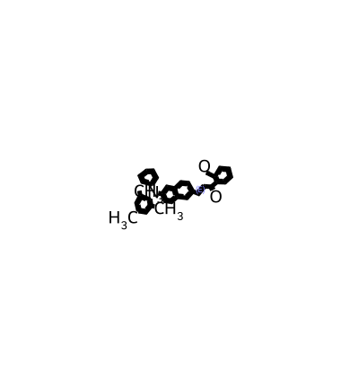 Cc1cc(C)c(N(c2ccccc2)c2ccc3cc(/C=C/C(=O)c4ccccc4C=O)ccc3c2)c(C)c1